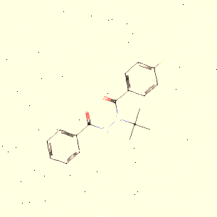 CC(C)(C)N(NC(=O)c1ccccc1)C(=O)c1ccc(F)cc1